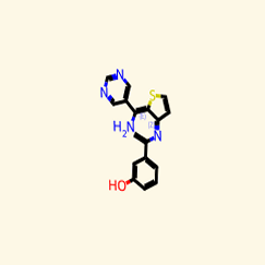 C=C(/N=C1/C=CS/C1=C(/N)c1cncnc1)c1cccc(O)c1